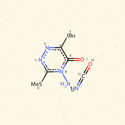 CSc1nnc(C(C)(C)C)c(=O)n1N.N=C=O